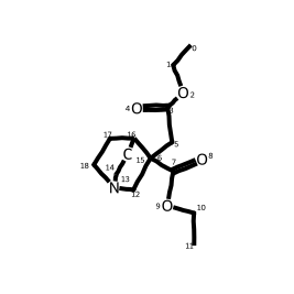 CCOC(=O)CC1(C(=O)OCC)CN2CCC1CC2